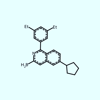 Bc1cc2cc(C3CCCC3)ccc2c(-c2cc(CC)cc(CC)c2)n1